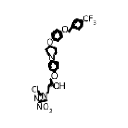 O=[N+]([O-])c1cn(CC[C@H](O)COc2ccc(N3CCC(Oc4ccc(OCc5ccc(C(F)(F)F)cc5)cc4)CC3)cc2)c(Cl)n1